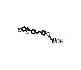 COc1ccc2nc(-c3ccc(/C=C/c4ccc(OCCCC(C)(C)[Si](C)(C)O)cc4)cc3)sc2c1